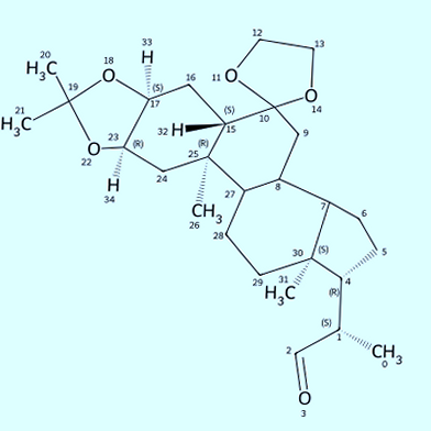 C[C@H](C=O)[C@H]1CCC2C3CC4(OCCO4)[C@H]4C[C@@H]5OC(C)(C)O[C@@H]5C[C@]4(C)C3CC[C@@]21C